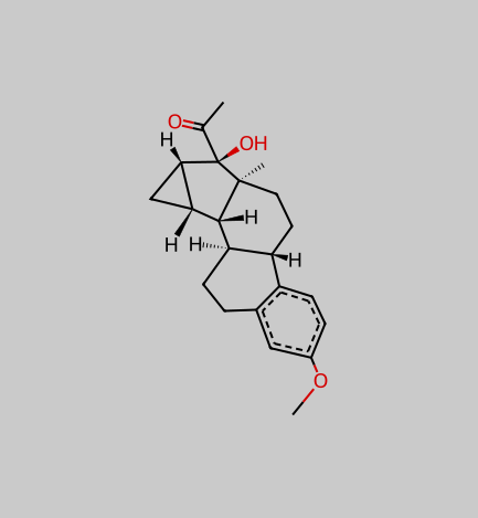 COc1ccc2c(c1)CC[C@H]1[C@@H]3[C@@H]4C[C@@H]4[C@](O)(C(C)=O)[C@@]3(C)CC[C@H]21